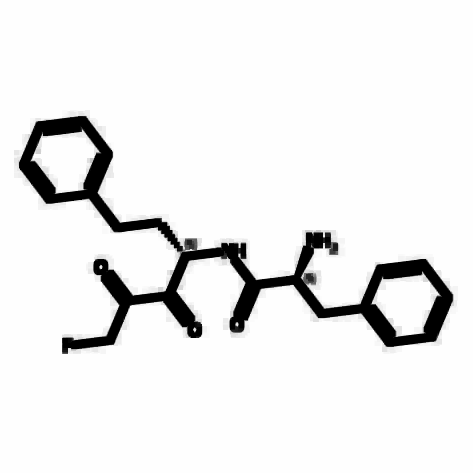 N[C@@H](Cc1ccccc1)C(=O)N[C@@H](CCc1ccccc1)C(=O)C(=O)CF